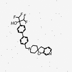 OC(c1ccc(-c2ccc(CN3CCC4(CC3)Cc3ccncc3O4)cc2)cc1)(C(F)F)C(F)F